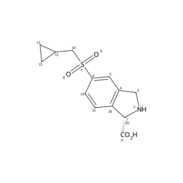 O=C(O)[C@H]1NCc2cc(S(=O)(=O)CC3CC3)ccc21